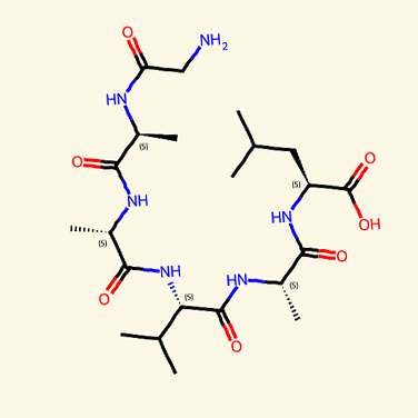 CC(C)C[C@H](NC(=O)[C@H](C)NC(=O)[C@@H](NC(=O)[C@H](C)NC(=O)[C@H](C)NC(=O)CN)C(C)C)C(=O)O